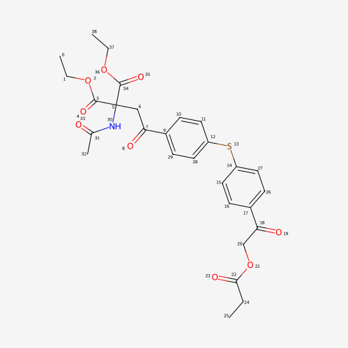 CCOC(=O)C(CC(=O)c1ccc(Sc2ccc(C(=O)COC(=O)CC)cc2)cc1)(NC(C)=O)C(=O)OCC